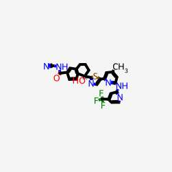 Cc1cc(Nc2cc(C(F)(F)F)ccn2)nc(-c2cnc([C@]3(O)CCCc4cc(C(=O)NC#N)ccc43)s2)c1